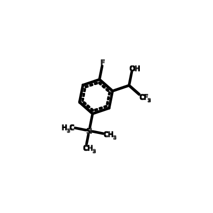 C[Si](C)(C)c1ccc(F)c(C(O)C(F)(F)F)c1